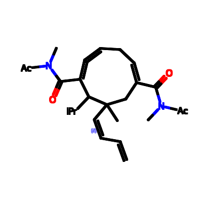 C=C/C=C\C1(C)CC(C(=O)N(C)C(C)=O)=CCC=C=C(C(=O)N(C)C(C)=O)C1C(C)C